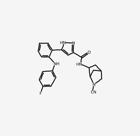 N#CN1CC2CC(NC(=O)c3cc(-c4ccccc4Nc4ccc(F)cc4)[nH]n3)C1C2